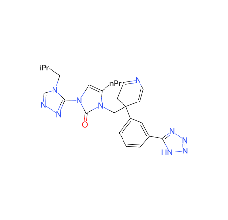 CCCc1cn(-c2nncn2CC(C)C)c(=O)n1CC1(c2cccc(-c3nnn[nH]3)c2)C=CN=CC1